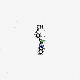 CCCCc1ccc(C#CCC[n+]2ccc3c(c2)CCCC3)cc1.[Br-]